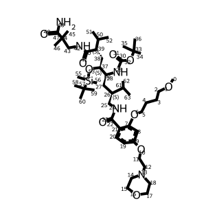 COCCCCOc1cc(OCCN2CCOCC2)ccc1C(=O)NC[C@@H](C[C@H](NC(=O)OC(C)(C)C)[C@H](C[C@H](C(=O)NCC(C)(C)C(N)=O)C(C)C)O[Si](C)(C)C(C)(C)C)C(C)C